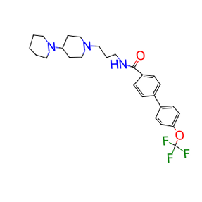 O=C(NCCCN1CCC(N2CCCCC2)CC1)c1ccc(-c2ccc(OC(F)(F)F)cc2)cc1